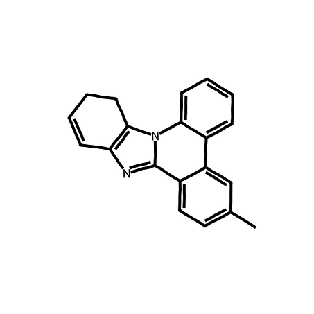 Cc1ccc2c(c1)c1ccccc1n1c3c(nc21)C=CCC3